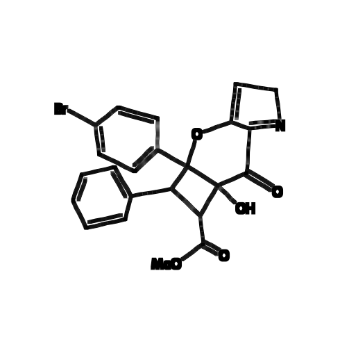 COC(=O)C1C(c2ccccc2)C2(c3ccc(Br)cc3)OC3=CCN=C3C(=O)C12O